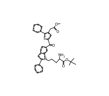 COC(=O)Cc1cc(C(=O)c2ccc3cc(-c4ccccc4)n(CCCC(N)C(=O)OC(C)(C)C)c3c2)sc1-c1ccccc1